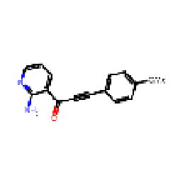 COc1ccc(C#CC(=O)c2cccnc2N)cc1